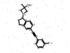 CC1(O)CN(C2CCc3cc(C#Cc4cccc(F)c4)ccc32)C1